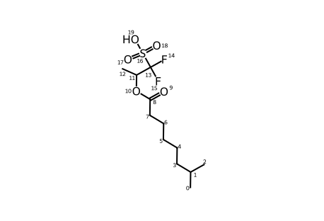 CC(C)CCCCCC(=O)OC(C)C(F)(F)S(=O)(=O)O